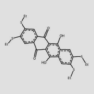 CCSc1cc2c(cc1SCC)C(=O)c1c(c(O)c3cc(SCC)c(SCC)cc3c1O)C2=O